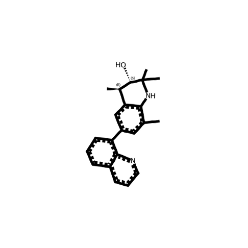 Cc1cc(-c2cccc3cccnc23)cc2c1NC(C)(C)[C@@H](O)[C@@H]2C